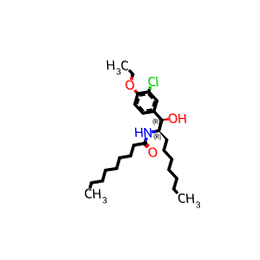 CCCCCCCCC(=O)N[C@H](CCCCCCC)[C@H](O)c1ccc(OCC)c(Cl)c1